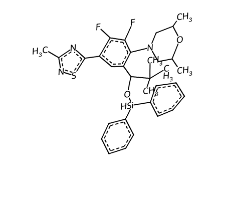 Cc1nsc(-c2cc(C(O[SiH](c3ccccc3)c3ccccc3)C(C)(C)C)c(N3CC(C)OC(C)C3)c(F)c2F)n1